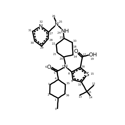 CC1CCC(C(=O)N(c2cc(C(C)(C)C)sc2C(=O)O)C2CCC(NN(C)c3ccccn3)CC2)CC1